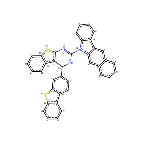 c1ccc2cc3c(cc2c1)c1ccccc1n3C1=Nc2sc3ccccc3c2C(c2ccc3c(c2)sc2ccccc23)N1